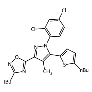 CCCCc1ccc(-c2c(C)c(-c3nc(C(C)(C)C)no3)nn2-c2ccc(Cl)cc2Cl)s1